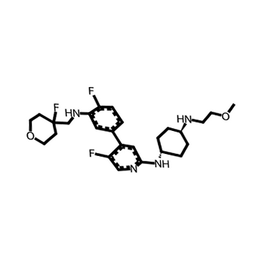 COCCN[C@H]1CC[C@H](Nc2cc(-c3ccc(F)c(NCC4(F)CCOCC4)c3)c(F)cn2)CC1